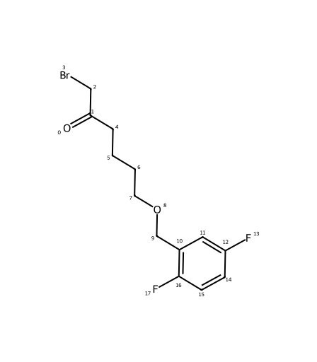 O=C(CBr)CCCCOCc1cc(F)ccc1F